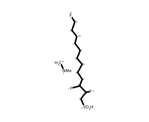 CNC.O=S(=O)(O)CC(F)C(F)CCCCCCCCCF